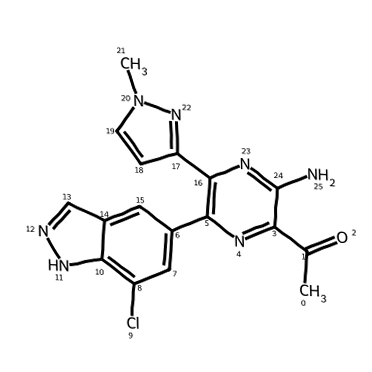 CC(=O)c1nc(-c2cc(Cl)c3[nH]ncc3c2)c(-c2ccn(C)n2)nc1N